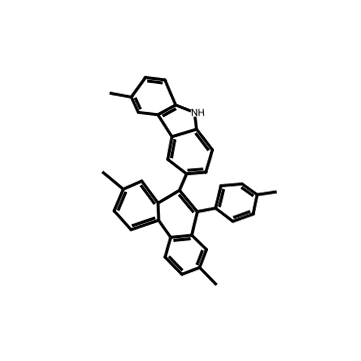 Cc1ccc(-c2c(-c3ccc4[nH]c5ccc(C)cc5c4c3)c3cc(C)ccc3c3ccc(C)cc23)cc1